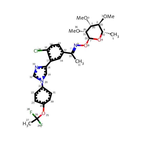 CO[C@@H]1[C@@H](OC)[C@H](C)O[C@@H](O/N=C(\C)c2ccc(Cl)c(-c3cn(-c4ccc(OC(C)(F)F)cc4)cn3)c2)[C@@H]1OC